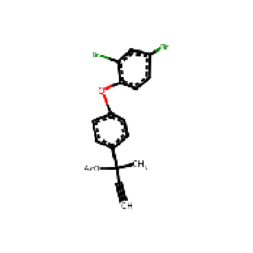 C#CC(C)(OC(C)=O)c1ccc(Oc2ccc(Br)cc2Br)cc1